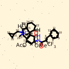 COC1(NC(=O)C(=Cc2ccccc2)C(F)(F)F)C=C(OC(C)=O)C2=C3C1O[C@H]1CCC[C@H]4[C@@H](C2)[N+](C)(CC2CC2)CC[C@]314